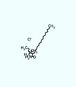 CCCCCCCCCCCCCCCCC(C(N)=O)[N+](C)(C)CCC.[Cl-]